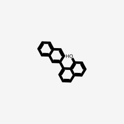 Oc1cccc2cccc(-c3ccc4ccccc4c3)c12